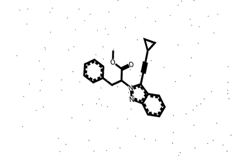 COC(=O)C(Cc1ccccc1)n1nc2ccccc2c1C#CC1CC1